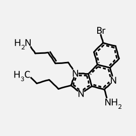 CCCCc1nc2c(N)nc3ccc(Br)cc3c2n1C/C=C/CN